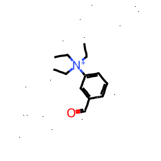 CC[N+](CC)(CC)c1cccc(C=O)c1